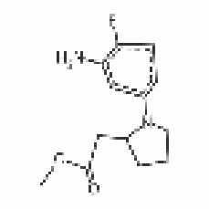 COC(=O)CC1CCCN1c1ccc(F)c(N)c1